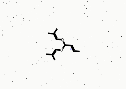 C/C=C/C(OC=C(C)C)OC=C(C)C